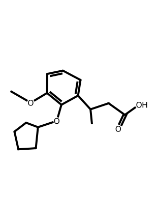 COc1cccc(C(C)CC(=O)O)c1OC1CCCC1